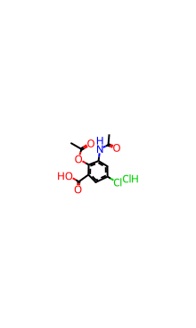 CC(=O)Nc1cc(Cl)cc(C(=O)O)c1OC(C)=O.Cl